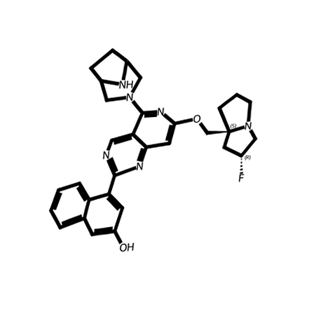 Oc1cc(-c2ncc3c(N4CC5CCC(C4)N5)nc(OC[C@@]45CCCN4C[C@H](F)C5)cc3n2)c2ccccc2c1